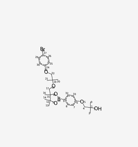 CC(C)(O)COc1ccc(B2OC(C)(C)C(C)(COC(C)(C)COc3ccc(Br)cc3)O2)cc1